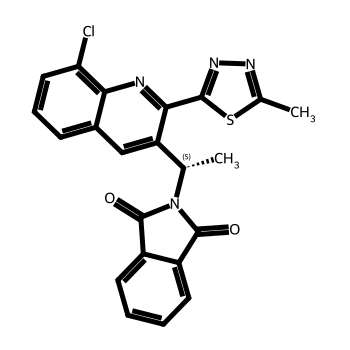 Cc1nnc(-c2nc3c(Cl)cccc3cc2[C@H](C)N2C(=O)c3ccccc3C2=O)s1